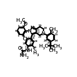 COc1cccc(C)c1-n1nc2c(c1-c1ccc(NC(N)=O)c(C)c1)CN(c1cc(C(C)(C)C)ccc1C)CC2